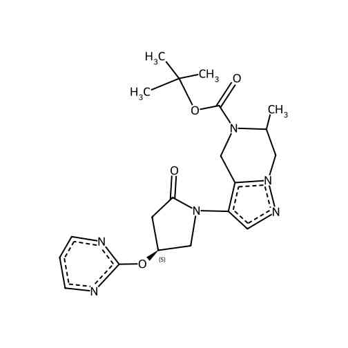 CC1Cn2ncc(N3C[C@@H](Oc4ncccn4)CC3=O)c2CN1C(=O)OC(C)(C)C